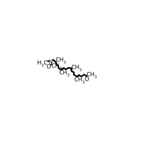 CCN(CC(C)=CCCC(C)=CCCC(C)=CCCC(C)=CCCC(C)=O)C(C)=O